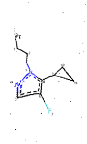 CC(C)CCn1n[c]c(F)c1C1CC1